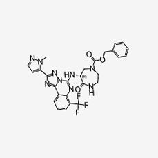 Cn1nccc1-c1nc2c3cccc(C(F)(F)F)c3nc(N[C@@H]3CN(C(=O)OCc4ccccc4)CCNC3=O)n2n1